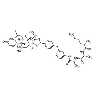 CCCCC(C)C(=O)N[C@@H](C)C(=O)N[C@@H](C)C(=O)Nc1cccc(Cc2ccc([C@@H]3O[C@@H]4C[C@H]5[C@@H]6C[C@H](F)C7=CC(=O)C=C[C@]7(C)[C@@]6(F)[C@@H](O)C[C@]5(C)[C@]4(C(=O)CO)O3)cc2)c1